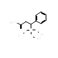 CO[Si](OC)(OC)C(CC(N)=O)c1ccccc1